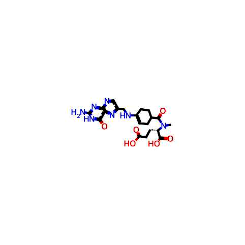 CN(C(=O)C1CC=C(NCc2cnc3nc(N)[nH]c(=O)c3n2)CC1)[C@@H](CCC(=O)O)C(=O)O